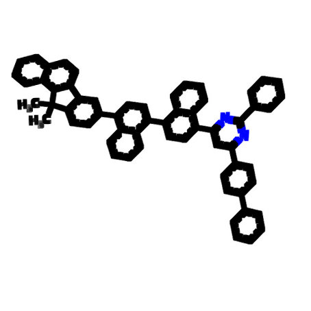 CC1(C)c2ccc(-c3ccc(-c4ccc(-c5cc(-c6ccc(-c7ccccc7)cc6)nc(-c6ccccc6)n5)c5ccccc45)c4ccccc34)cc2-c2ccc3ccccc3c21